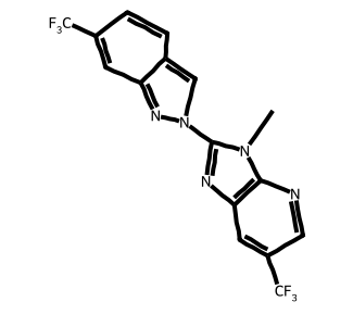 Cn1c(-n2cc3ccc(C(F)(F)F)cc3n2)nc2cc(C(F)(F)F)cnc21